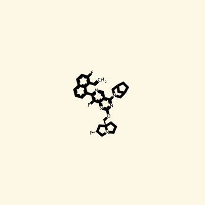 C=Cc1c(F)ccc2cccc(-c3ncc4c(N5CC6CCC(C6)C5)nc(OC[C@@]56CCCN5C[C@H](F)C6)nc4c3F)c12